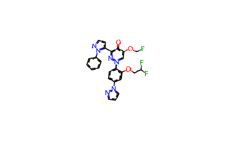 O=c1c(OCF)cn(-c2ccc(-n3cccn3)cc2OCC(F)F)nc1-c1ccnn1-c1ccccc1